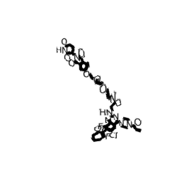 C=CC(=O)N1CCN(c2nc(NCCC(=O)N(C)CCOCCOCCOc3ccc4c(c3)C(=O)N(C3CCC(=O)NC3=O)C4=O)nc3c(F)c(C4=C(F)C=CCC=C4O)c(Cl)cc23)CC1